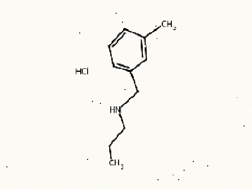 CCCNCc1cccc(C)c1.Cl